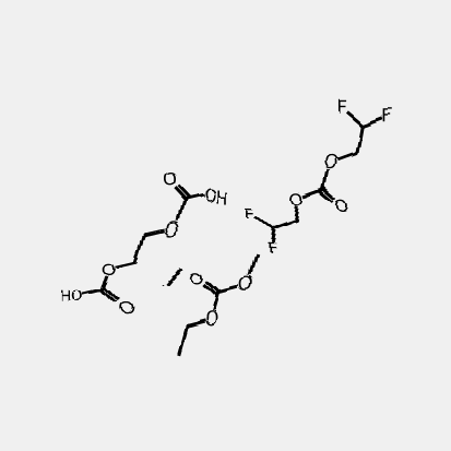 CCOC(=O)OC.O=C(O)OCCOC(=O)O.O=C(OCC(F)F)OCC(F)F.[CH2]C